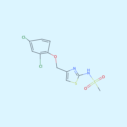 CS(=O)(=O)Nc1nc(COc2ccc(Cl)cc2Cl)cs1